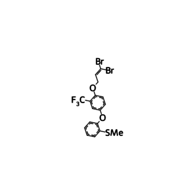 CSc1ccccc1Oc1ccc(OCC=C(Br)Br)c(C(F)(F)F)c1